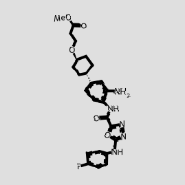 COC(=O)CCO[C@H]1CC[C@H](c2ccc(NC(=O)c3nnc(Nc4ccc(F)cc4)o3)c(N)c2)CC1